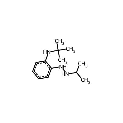 CC(C)NNc1ccccc1NC(C)(C)C